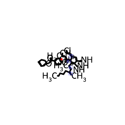 C/C=C(\C=C(/C)c1c2c(cc(=C/CCl)/c1=C(\CC(C)(C)C)Oc1ccc(C(=O)OC3=CC=CCC3)cc1)C(=N)NC2=N)CCCCC